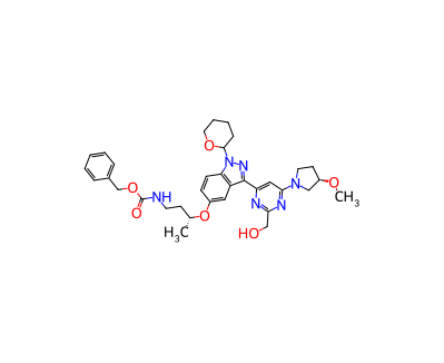 CO[C@@H]1CCN(c2cc(-c3nn(C4CCCCO4)c4ccc(O[C@H](C)CCNC(=O)OCc5ccccc5)cc34)nc(CO)n2)C1